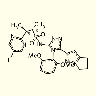 COc1cccc(OC)c1-n1c(NS(=O)(=O)[C@@H](C)[C@H](C)c2ncc(F)cn2)nnc1-c1cc2n(n1)CCC2